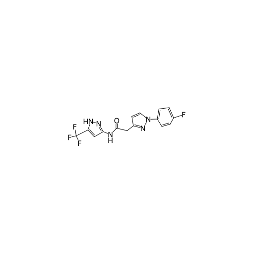 O=C(Cc1ccn(-c2ccc(F)cc2)n1)Nc1cc(C(F)(F)F)[nH]n1